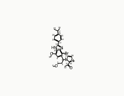 COCCC(c1cc(OC)c2[nH]c(-c3ccc(C(C)C)cc3)nc2c1Br)n1ccnc1C(C)=O